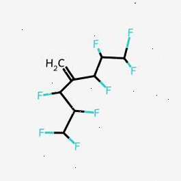 C=C(C(F)C(F)C(F)F)C(F)C(F)C(F)F